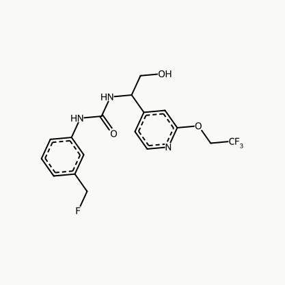 O=C(Nc1cccc(CF)c1)NC(CO)c1ccnc(OCC(F)(F)F)c1